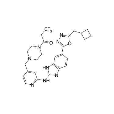 O=C(CC(F)(F)F)N1CCN(Cc2ccnc(Nc3nc4ccc(-c5nnc(CC6CCC6)o5)cc4[nH]3)c2)CC1